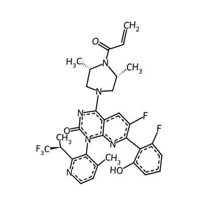 C=CC(=O)N1[C@H](C)CN(c2nc(=O)n(-c3c(C)ccnc3[C@H](C)C(F)(F)F)c3nc(-c4c(O)cccc4F)c(F)cc23)C[C@@H]1C